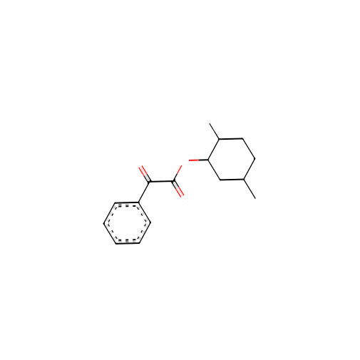 CCCC1CCC(C)CC1OC(=O)C(=O)c1ccccc1